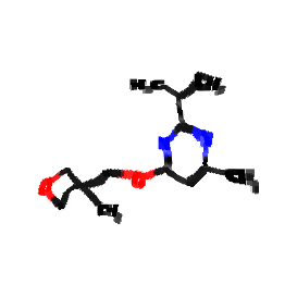 Cc1cc(OCC2(C)COC2)nc(C(C)C)n1